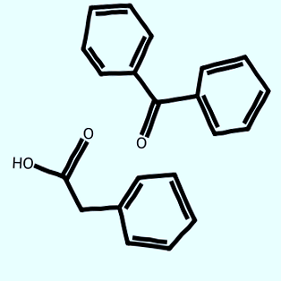 O=C(O)Cc1ccccc1.O=C(c1ccccc1)c1ccccc1